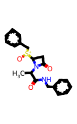 CC(C(=O)NCc1ccccc1)N1C(=O)CC1[S+]([O-])Cc1ccccc1